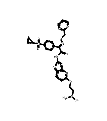 CN(C)CCOc1ccc2nc(NC(=O)/C(=N/OCc3ncccn3)c3ccc(S(=O)(=O)C4CC4)cc3)sc2n1